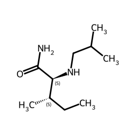 CC[C@H](C)[C@H](NCC(C)C)C(N)=O